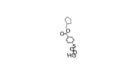 O=C(OCC1CCCC1)c1ccc(SOOO)cc1